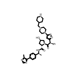 Cc1ncsc1-c1ccc([C@H](C)NC(=O)[C@@H]2C[C@@H](O)CN2C(=O)[C@@H](c2cc(N3CCN(CC4CCNCC4)CC3)no2)C(C)C)cc1